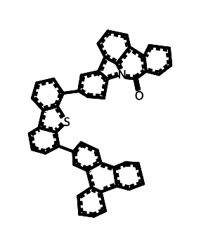 O=c1c2ccccc2c2cccc3c4cc(-c5cccc6c5sc5c(-c7ccc8c9ccccc9c9ccccc9c8c7)cccc56)ccc4n1c23